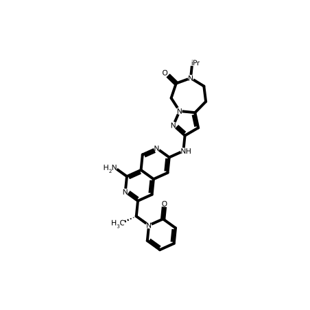 CC(C)N1CCc2cc(Nc3cc4cc([C@@H](C)n5ccccc5=O)nc(N)c4cn3)nn2CC1=O